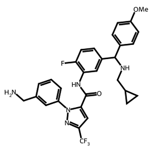 COc1ccc(C(NCC2CC2)c2ccc(F)c(NC(=O)c3cc(C(F)(F)F)nn3-c3cccc(CN)c3)c2)cc1